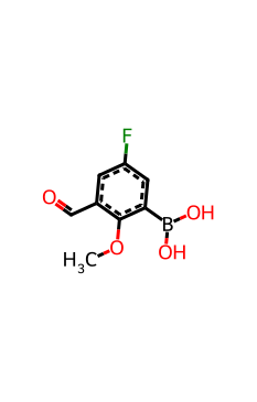 COc1c(C=O)cc(F)cc1B(O)O